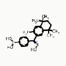 Cc1cc2c(cc1/C(=N/O)c1ccc(B(O)O)cc1)C(C)(C)CCC2(C)C